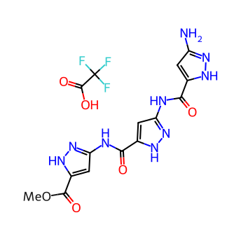 COC(=O)c1cc(NC(=O)c2cc(NC(=O)c3cc(N)n[nH]3)n[nH]2)n[nH]1.O=C(O)C(F)(F)F